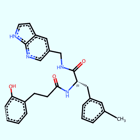 Cc1cccc(C[C@H](NC(=O)CCc2ccccc2O)C(=O)NCc2cnc3[nH]ccc3c2)c1